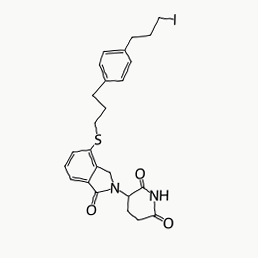 O=C1CCC(N2Cc3c(SCCCc4ccc(CCCI)cc4)cccc3C2=O)C(=O)N1